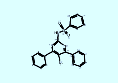 CCc1c(-c2ccccc2)nc(NS(=O)(=O)c2ccccc2)nc1-c1ccccc1